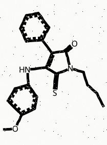 CCCCN1C(=O)C(c2ccccc2)=C(Nc2ccc(OC)cc2)C1=S